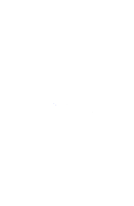 COc1nc(C)cc(C)c1CCl